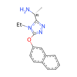 CCn1c(Oc2ccc3ccccc3c2)nnc1[C@@H](C)N